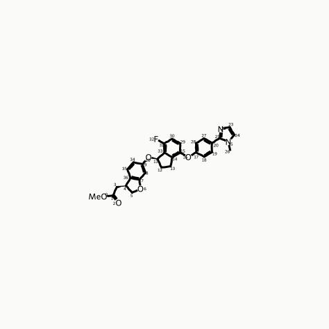 COC(=O)C[C@@H]1COc2cc(O[C@@H]3CCc4c(Oc5ccc(-c6nccn6C)cc5)ccc(F)c43)ccc21